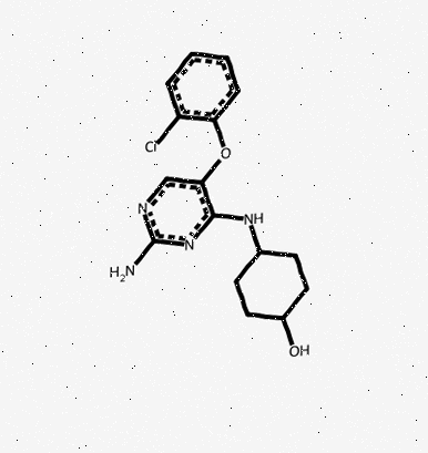 Nc1ncc(Oc2ccccc2Cl)c(NC2CCC(O)CC2)n1